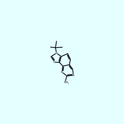 CC(C)(C)n1cnc2c3nc(N)ncc3ccc21